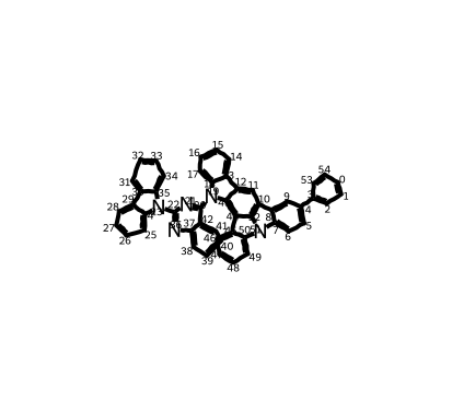 c1ccc(-c2ccc3c(c2)c2cc4c5ccccc5n(-c5nc(-n6c7ccccc7c7ccccc76)nc6ccccc56)c4c4c5ccccc5n3c24)cc1